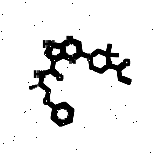 C=CC(=O)N1CCN(c2cnc3[nH]cc(C(=O)N[C@@H](C)COc4ccccc4)c3n2)CC1(C)C